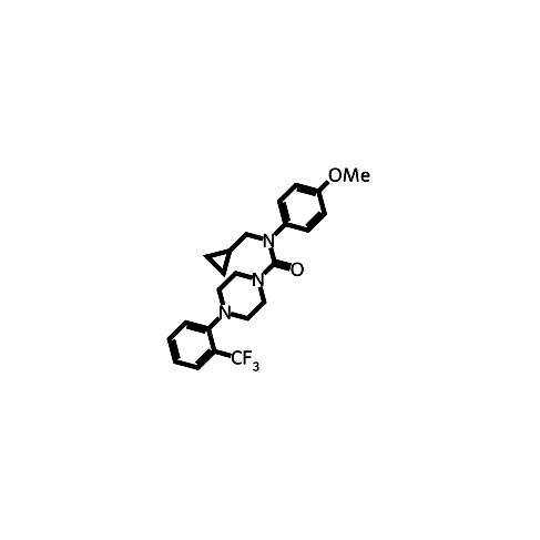 COc1ccc(N(CC2CC2)C(=O)N2CCN(c3ccccc3C(F)(F)F)CC2)cc1